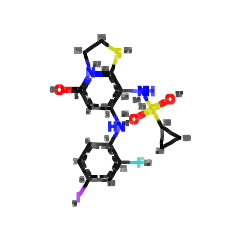 O=c1cc(Nc2ccc(I)cc2F)c(NS(=O)(=O)C2CC2)c2n1CCS2